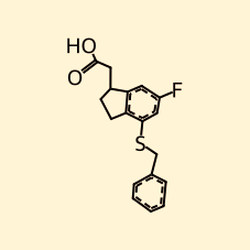 O=C(O)CC1CCc2c(SCc3ccccc3)cc(F)cc21